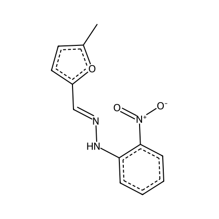 Cc1ccc(C=NNc2ccccc2[N+](=O)[O-])o1